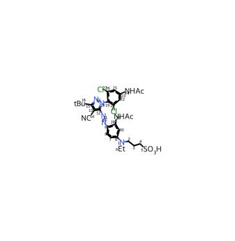 CCN(CCCS(=O)(=O)O)c1ccc(/N=N/c2c(C#N)c(C(C)(C)C)nn2-c2c(Cl)cc(NC(C)=O)cc2Cl)c(NC(C)=O)c1